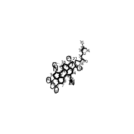 [C-]#[N+]c1cc2c3c(ccc4c5c(C#N)cc6c7c(ccc(c1c34)c75)C(=O)N(CCC(C)CCC=C(C)C)C6=O)C(=O)OC2=O